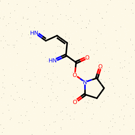 N=C/C=C\C(=N)C(=O)ON1C(=O)CCC1=O